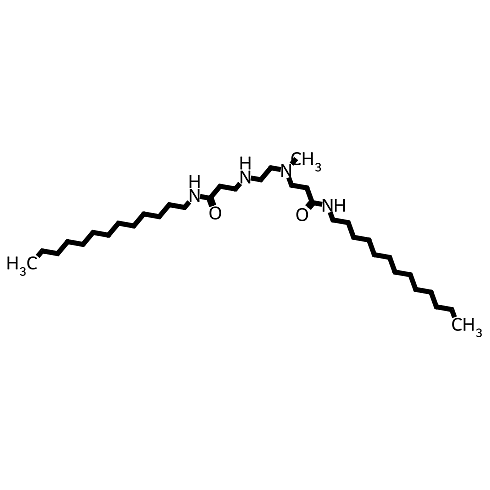 CCCCCCCCCCCCCNC(=O)CCNCCN(C)CCC(=O)NCCCCCCCCCCCCC